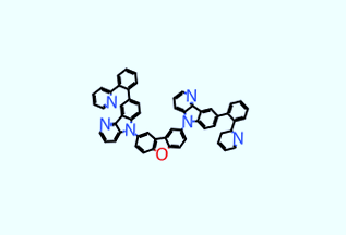 C1=CCC(c2ccccc2-c2ccc3c(c2)c2ncccc2n3-c2ccc3oc4ccc(-n5c6ccc(-c7ccccc7-c7ccccn7)cc6c6ncccc65)cc4c3c2)N=C1